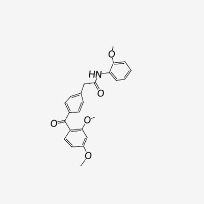 COc1ccc(C(=O)c2ccc(CC(=O)Nc3ccccc3OC)cc2)c(OC)c1